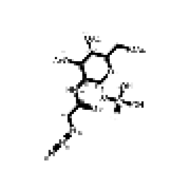 CC(=O)OCC1O[C@H](OP(=O)(O)O)C(NC(=O)CN=[N+]=[N-])C(OC(C)=O)[C@H]1OC(C)=O